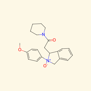 COc1ccc([N+]2([O-])Cc3ccccc3C2CC(=O)N2CCCCC2)cc1